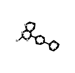 Brc1nc(-c2ccc(-c3ccccc3)cc2)c2cccnc2n1